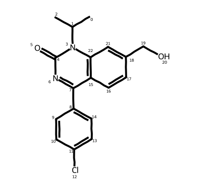 CC(C)n1c(=O)nc(-c2ccc(Cl)cc2)c2ccc(CO)cc21